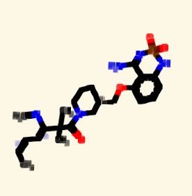 C=N/C(=C\C=C/C)C(C)(C)C(=O)N1CCC[C@H](COc2cccc3c2C(N)=NS(=O)(=O)N3)C1